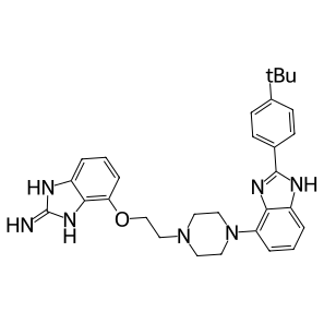 CC(C)(C)c1ccc(-c2nc3c(N4CCN(CCOc5cccc6[nH]c(=N)[nH]c56)CC4)cccc3[nH]2)cc1